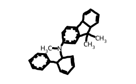 CN(c1ccc2c(c1)C(C)(C)C1C=CC=CC21)C1C=CC=CC1c1ccccc1